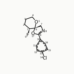 F[C@H]1CCCO[C@@]12CN=C(c1ccc(Cl)cc1)O2